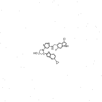 O[C@H]1C[C@H](c2cn3cc(C4CC4)ccc3n2)N(c2cc(NCc3cc4c(Cl)c[nH]c4cc3F)ncn2)C1